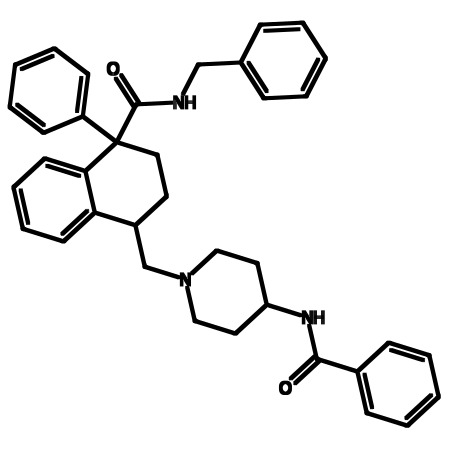 O=C(NC1CCN(CC2CCC(C(=O)NCc3ccccc3)(c3ccccc3)c3ccccc32)CC1)c1ccccc1